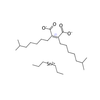 CC(C)CCCCC/C(C(=O)[O-])=C(\CCCCCC(C)C)C(=O)[O-].CC[CH2][Sn+2][CH2]CC